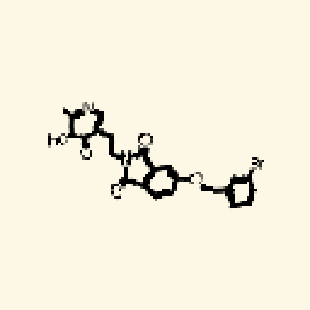 CC1=NC=C(CCN2C(=O)c3ccc(OCc4cccc(Br)c4)cc3C2=O)C(=O)C1O